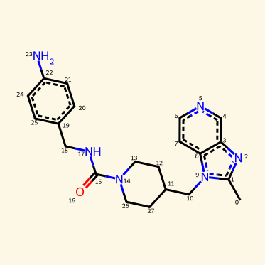 Cc1nc2cnccc2n1CC1CCN(C(=O)NCc2ccc(N)cc2)CC1